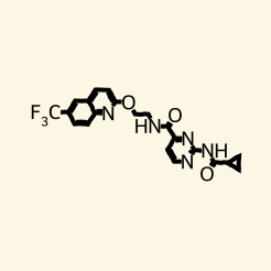 O=C(NCCOc1ccc2cc(C(F)(F)F)ccc2n1)c1ccnc(NC(=O)C2CC2)n1